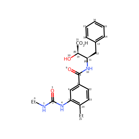 CCNC(=O)Nc1cc(C(=O)N[C@H](Cc2ccccc2)[C@@H](O)C(=O)O)ccc1CC